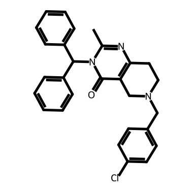 Cc1nc2c(c(=O)n1C(c1ccccc1)c1ccccc1)CN(Cc1ccc(Cl)cc1)CC2